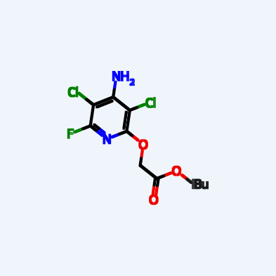 CCC(C)OC(=O)COc1nc(F)c(Cl)c(N)c1Cl